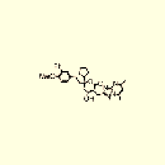 CCc1cc(CCC2(C3CCCC3)CC(O)=C(Cc3nc4nc(C)cc(C)n4n3)C(=O)O2)ccc1OC